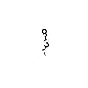 OCc1nc(-c2ccc3nc(-c4cc5ccccc5o4)cn3c2)cs1